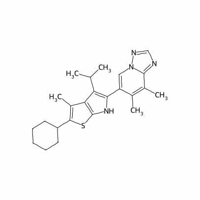 Cc1c(-c2[nH]c3sc(C4CCCCC4)c(C)c3c2C(C)C)cn2ncnc2c1C